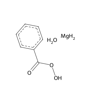 O.O=C(OO)c1ccccc1.[MgH2]